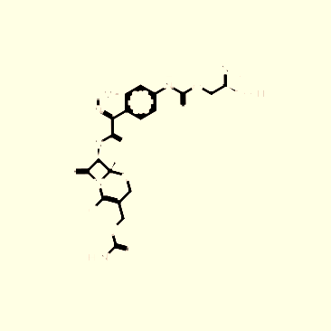 CON=C(C(=O)N[C@@H]1C(=O)N2C(C(=O)O)=C(COC(N)=O)CS[C@@H]12)c1ccc(NC(=O)OC[C@@H](N)C(=O)O)cc1